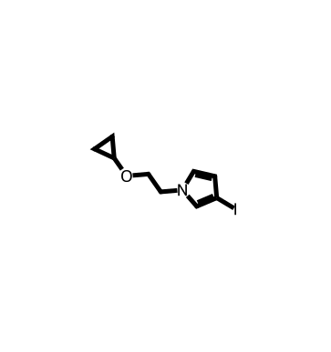 Ic1ccn(CCOC2CC2)c1